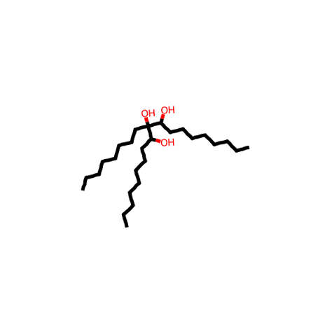 CCCCCCCCC(O)C(O)(CCCCCCCC)C(O)CCCCCCCC